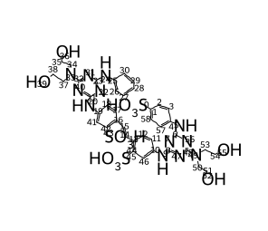 O=S(=O)(O)c1ccc(Nc2nc(Nc3ccc(C=Cc4ccc(Nc5nc(Nc6ccccc6)nc(N(CCO)CCO)n5)cc4S(=O)(=O)O)c(S(=O)(=O)O)c3)nc(N(CCO)CCO)n2)cc1